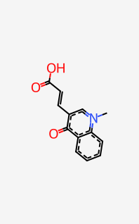 Cn1cc(C=CC(=O)O)c(=O)c2ccccc21